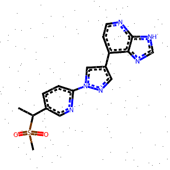 CC(c1ccc(-n2cc(-c3ccnc4[nH]cnc34)cn2)nc1)S(C)(=O)=O